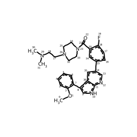 COc1ccccc1-c1c[nH]c2ncc(-c3ccc(F)c(C(=O)N4CCN(CCN(C)C)CC4)c3)cc12